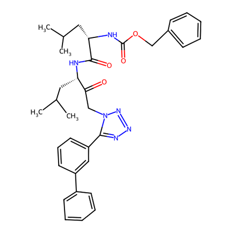 CC(C)C[C@H](NC(=O)[C@H](CC(C)C)NC(=O)OCc1ccccc1)C(=O)Cn1nnnc1-c1cccc(-c2ccccc2)c1